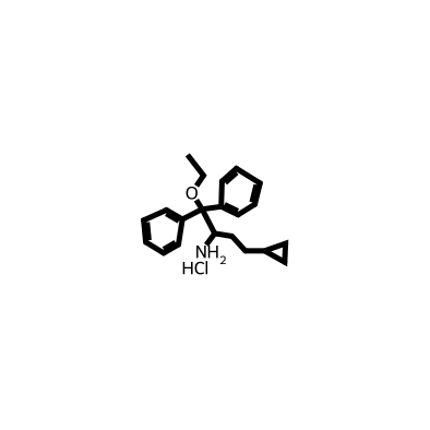 CCOC(c1ccccc1)(c1ccccc1)C(N)CCC1CC1.Cl